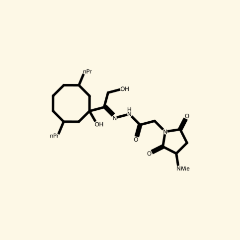 CCCC1CCCC(CCC)CC(O)(/C(CO)=N/NC(=O)CN2C(=O)CC(NC)C2=O)C1